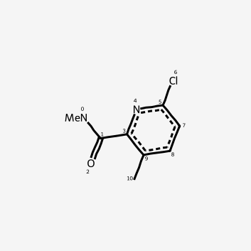 CNC(=O)c1nc(Cl)ccc1C